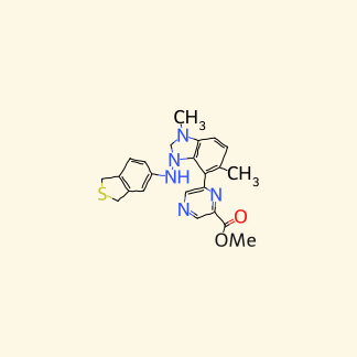 COC(=O)c1cncc(-c2c(C)ccc3c2N(Nc2ccc4c(c2)CSC4)CN3C)n1